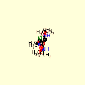 COC(=O)[C@H](CC(C)C)NC(=O)CC1OC(c2cccc(CNC(=O)OC(C)(C)C)c2)c2cc(Cl)ccc2N(CC(C)(C)C)C1=O